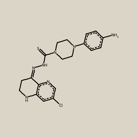 Nc1ccc(N2CCN(C(=S)N/N=C3/CCNc4cc(Cl)cnc43)CC2)cc1